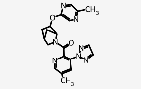 Cc1cnc(C(=O)N2CC3CC(Oc4cnc(C)cn4)C2C3)c(-n2nccn2)c1